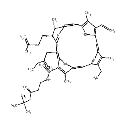 C=Cc1c(C)c2cc3nc(c(CC(=C)CC)c4[nH]c(cc5nc(cc1[nH]2)C(C)=C5CC)c(C)c4C(=C)NCCC(=C)CC(C)(C)C)[C@@H](CCC(=C)C)[C@@H]3C